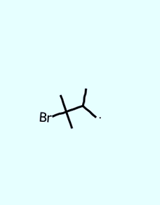 [CH2]C(C)C(C)(C)Br